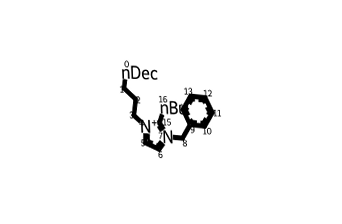 CCCCCCCCCCCCC[n+]1ccn(Cc2ccccc2)c1CCCC